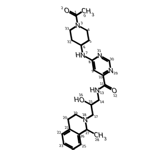 CC(=O)N1CCC(Nc2cc(C(=O)NCC(O)CN3CCc4ccccc4C3C)ncn2)CC1